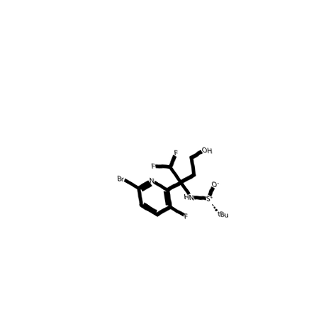 CC(C)(C)[S@@+]([O-])NC(CCO)(c1nc(Br)ccc1F)C(F)F